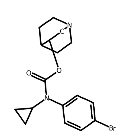 O=C(OC1CN2CCC1CC2)N(c1ccc(Br)cc1)C1CC1